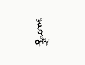 O=[N+]([O-])c1cc(CN2CCC(COc3nc(C(F)F)nn3-c3ccccc3F)CC2)cs1